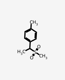 Cc1ccc(C(C)S(C)(=O)=O)cc1